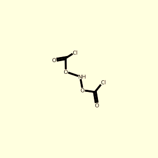 O=C(Cl)ONOC(=O)Cl